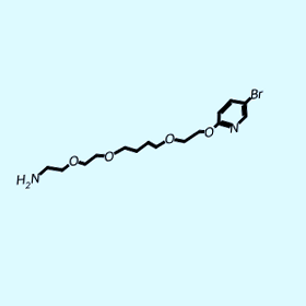 NCCOCCOCCCCOCCOc1ccc(Br)cn1